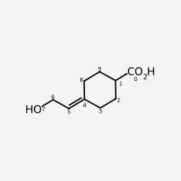 O=C(O)C1CCC(=CCO)CC1